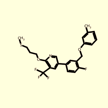 CSCCCOc1ncc(-c2ccc(F)c(COc3cccc(C)c3)c2)cc1C(F)(F)F